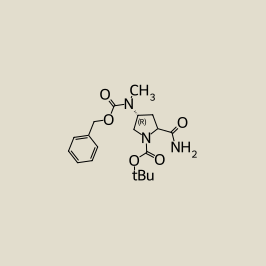 CN(C(=O)OCc1ccccc1)[C@@H]1CC(C(N)=O)N(C(=O)OC(C)(C)C)C1